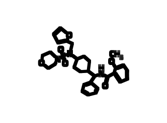 COc1ccccc1C(=O)NC(c1ccccc1)C1CCC(N(Cc2ccco2)S(=O)(=O)N2CCOCC2)CC1